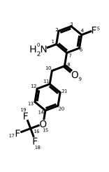 Nc1ccc(F)cc1C(=O)Cc1ccc(OC(F)(F)F)cc1